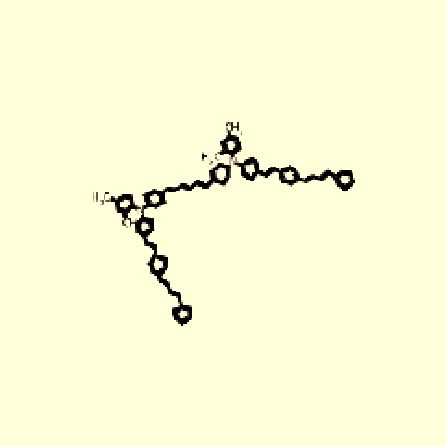 Cc1ccc(N(c2ccc(/C=C/C=C/C=C/c3ccc(N(c4ccc(/C=C/c5ccc(/C=C/C=C/c6ccccc6)cc5)cc4)c4ccc(C)cc4C)cc3)cc2)c2ccc(/C=C/c3ccc(/C=C/C=C/c4ccccc4)cc3)cc2)c(C)c1